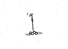 CC12CCC3c4ccc(O)cc4C[C@@H](CCCCCCCCCSOCCCC(F)(F)C(F)(F)F)C3C1CCC2O